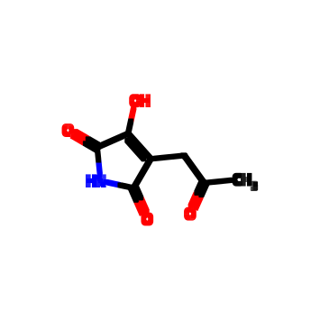 CC(=O)CC1=C(O)C(=O)NC1=O